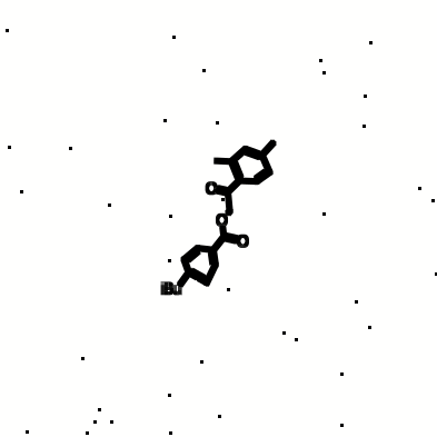 CCC(C)c1ccc(C(=O)OCC(=O)c2ccc(C)cc2C)cc1